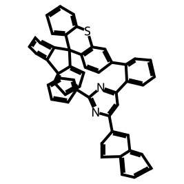 c1ccc(-c2nc(-c3ccc4ccccc4c3)cc(-c3ccccc3-c3ccc4c(c3)Sc3ccccc3C43c4ccccc4-c4ccccc43)n2)cc1